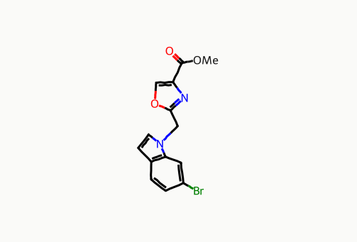 COC(=O)c1coc(Cn2ccc3ccc(Br)cc32)n1